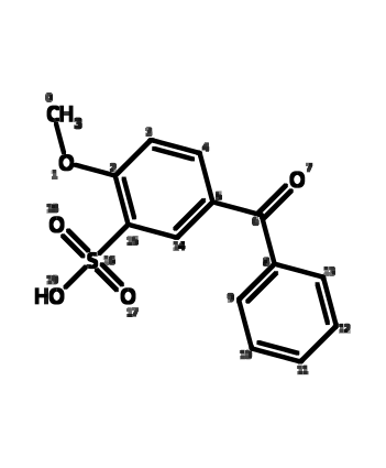 COc1ccc(C(=O)c2ccccc2)cc1S(=O)(=O)O